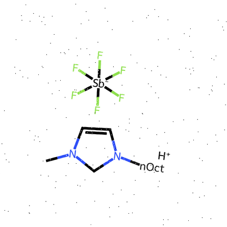 CCCCCCCCN1C=CN(C)C1.[F][Sb-]([F])([F])([F])([F])[F].[H+]